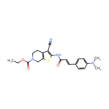 CCOC(=O)N1CCc2c(sc(NC(=O)C=Cc3ccc(N(C)C)cc3)c2C#N)C1